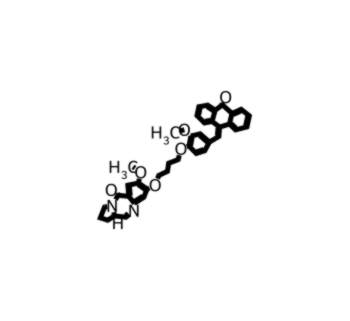 COc1cc(C=C2c3ccccc3C(=O)c3ccccc32)ccc1OCCCCOc1cc2c(cc1OC)C(=O)N1CCC[C@H]1C=N2